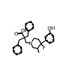 CC1CN(CC(Cc2ccccc2)(Cc2ccccc2)C(=O)O)CCC1(F)c1cccc(O)c1